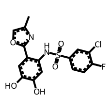 Cc1coc(-c2cc(O)c(O)cc2NS(=O)(=O)c2ccc(F)c(Cl)c2)n1